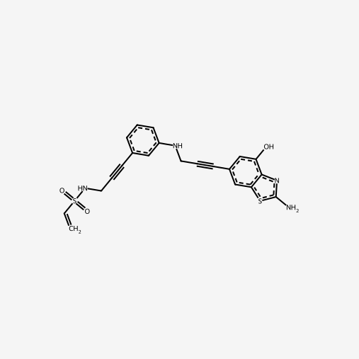 C=CS(=O)(=O)NCC#Cc1cccc(NCC#Cc2cc(O)c3nc(N)sc3c2)c1